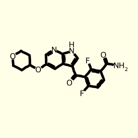 NC(=O)c1ccc(F)c(C(=O)c2c[nH]c3ncc(OC4CCOCC4)cc23)c1F